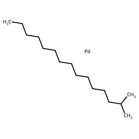 CCCCCCCCCCCCCC(C)C.[Pd]